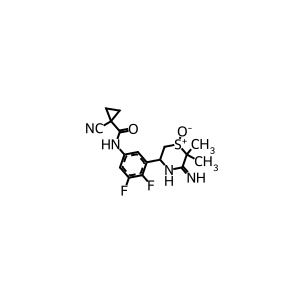 CC1(C)C(=N)NC(c2cc(NC(=O)C3(C#N)CC3)cc(F)c2F)C[S+]1[O-]